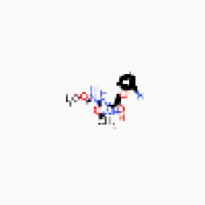 CCNC(NC(=O)NCOC)C(O)COc1ccccc1C#N